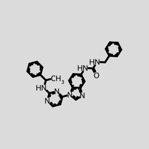 CC(Nc1nccc(-n2cnc3cc(NC(=O)NCc4ccccc4)ccc32)n1)c1ccccc1